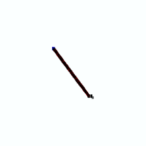 CC#CC#CC#CC#CC#CC#CC#CC#CC#CC#CC#CC#CC#CC#CC#CC#CC#CC#CC#CC#CC#CC#CC#CC#CC#CC#CC#CC#CC#CC#CC#CC#CC#CC#CC#CC#CC#CC#CC#CC#CC#CC#N